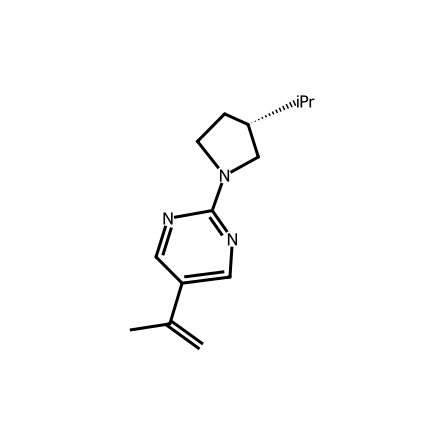 C=C(C)c1cnc(N2CC[C@H](C(C)C)C2)nc1